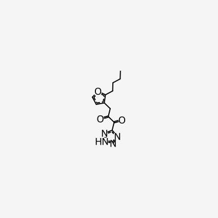 CCCCc1occc1CC(=O)C(=O)c1nn[nH]n1